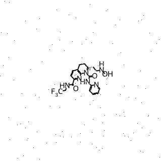 O=C(NCC(F)(F)F)c1ccc2c(n1)N(C(=O)Nc1ccccn1)[C@@H](CCNO)CC2